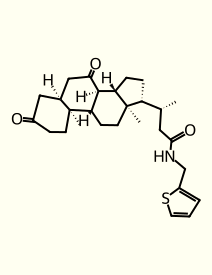 C[C@H](CC(=O)NCc1cccs1)[C@H]1CC[C@H]2[C@@H]3C(=O)C[C@@H]4CC(=O)CC[C@]4(C)[C@H]3CC[C@]12C